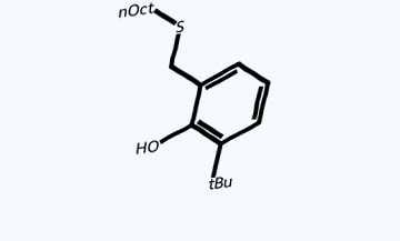 CCCCCCCCSCc1cccc(C(C)(C)C)c1O